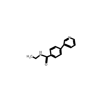 CCNC(=O)c1ccc(-c2cccnc2)cc1